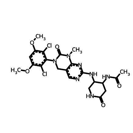 COc1cc(OC)c(Cl)c(N2Cc3cnc(NC4CNC(=O)CC4NC(C)=O)nc3N(C)C2=O)c1Cl